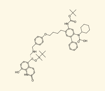 CC(C)(C)OC(=O)Nc1cc(N(C(=O)O)C2CCCCC2)c(-c2ccccc2)cc1CCCCOc1ccc(CNC[C@H](O[Si](C)(C)C(C)(C)C)c2ccc(O)c3[nH]c(=O)ccc23)cc1